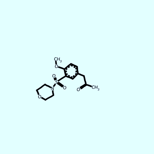 COc1ccc(CC(C)=O)cc1S(=O)(=O)N1CCOCC1